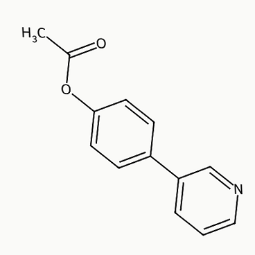 CC(=O)Oc1ccc(-c2cccnc2)cc1